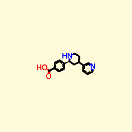 O=C(O)c1ccc([C@@H]2CC(c3cccnc3)CCN2)cc1